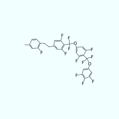 Cc1ccc(CCc2cc(F)c(C(F)(F)Oc3cc(F)c(C(F)(F)Oc4cc(F)c(F)c(F)c4)c(F)c3)c(F)c2)c(F)c1